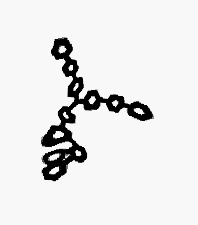 c1ccc(-c2ccc(-c3ccc(C(c4ccc(-c5ccc(-c6ccccc6)cc5)cc4)c4ccc(-c5cccc(-c6cccc7c6oc6ccccc67)c5)cc4)cc3)cc2)cc1